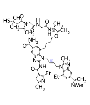 C=C(NC)c1cc(CC)c2c(c1)nc(C)n2C/C=C/Cn1c(NC(=O)C2=C(CC)N=C(C)C2)nc2cc(C(N)=O)cc(CCCCOC(=C)[C@H](C)NC(=O)CNC(=O)CN3C(=C)CC(C(C)(C)S)C3=O)c21